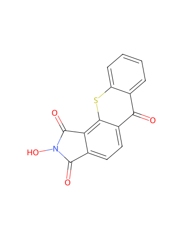 O=C1c2ccc3c(=O)c4ccccc4sc3c2C(=O)N1O